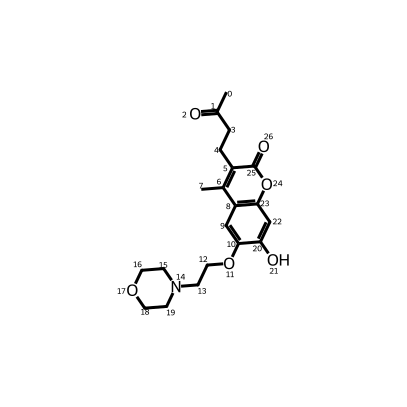 CC(=O)CCc1c(C)c2cc(OCCN3CCOCC3)c(O)cc2oc1=O